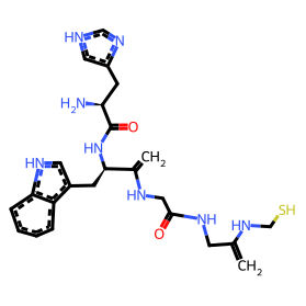 C=C(CNC(=O)CNC(=C)[C@@H](Cc1c[nH]c2ccccc12)NC(=O)[C@@H](N)Cc1c[nH]cn1)NCS